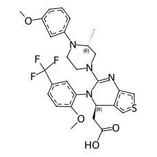 COc1cccc(N2CCN(C3=Nc4cscc4[C@@H](CC(=O)O)N3c3cc(C(F)(F)F)ccc3OC)C[C@H]2C)c1